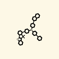 CC1(C)c2c(-c3ccc(N(c4ccc(-c5ccccc5)cc4)c4ccc(-c5ccc6ccccc6c5)cc4)cc3)cccc2-c2oc3ccccc3c21